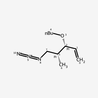 C=C[C@@H](OCCCC)[C@H](C)CN=[N+]=[N-]